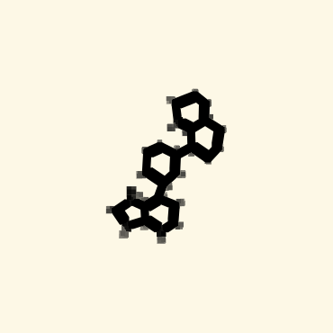 c1cc(-c2cccc3cccnc23)cc(-c2ccnc3nc[nH]c23)c1